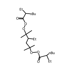 CCCCC(CC)C(=O)OOC(C)(C)CC(CC)C(C)(C)OOC(=O)C(CC)CCCC